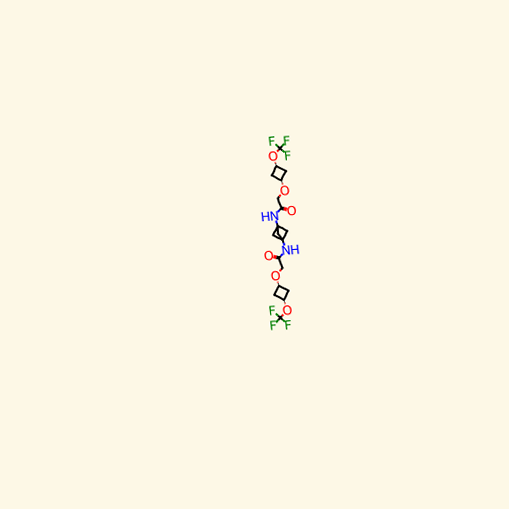 O=C(CO[C@H]1C[C@@H](OC(F)(F)F)C1)NC12CC(NC(=O)CO[C@H]3C[C@@H](OC(F)(F)F)C3)(C1)C2